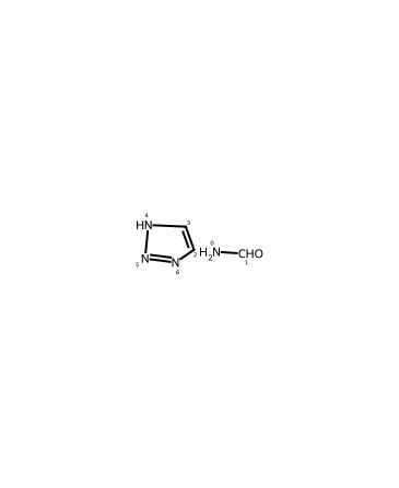 NC=O.c1c[nH]nn1